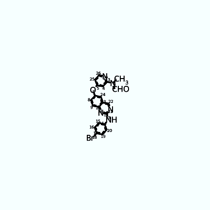 CN(C=O)c1cc(Oc2ccc3nc(Nc4ccc(Br)cc4)ncc3c2)ccn1